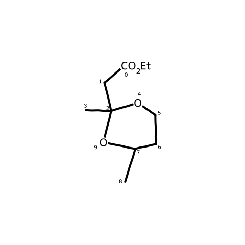 CCOC(=O)CC1(C)OCCC(C)O1